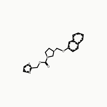 O=C(OCc1nccs1)N1CC[C@@H](COc2ccc3ccccc3c2)C1